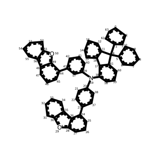 c1ccc(C2(c3ccccc3)c3ccccc3-c3c(N(c4ccc(-c5cccc6oc7ccccc7c56)cc4)c4cccc(-c5cccc6c5oc5ccccc56)c4)cccc32)cc1